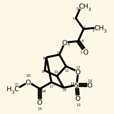 CCC(C)C(=O)OC1C2CC3C1OS(=O)(=O)C3C2C(=O)OC